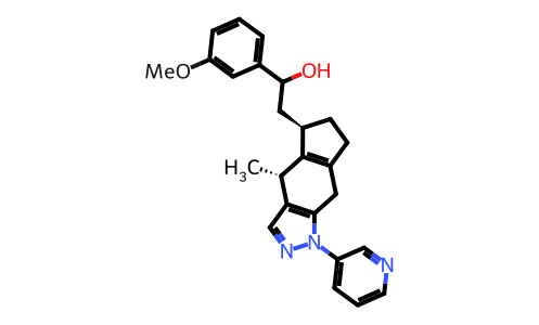 COc1cccc(C(O)C[C@H]2CCC3=C2[C@@H](C)c2cnn(-c4cccnc4)c2C3)c1